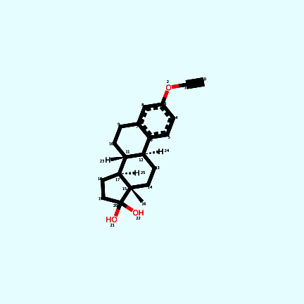 C#COc1ccc2c(c1)CC[C@@H]1[C@@H]2CC[C@@]2(C)[C@H]1CCC2(O)O